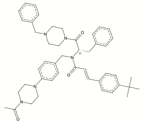 CC(=O)N1CCN(c2ccc(CN(C(=O)C=Cc3ccc(C(C)(C)C)cc3)[C@@H](Cc3ccccc3)C(=O)N3CCN(Cc4ccccc4)CC3)cc2)CC1